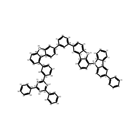 c1ccc(-c2ccc3c(c2)c2ccccc2n3-c2cccc3c2oc2ccc(-c4cccc(-c5ccc6c(c5)oc5cccc(-c7cccc(-c8nc(-c9ccccc9)nc(-c9ccccc9)n8)c7)c56)c4)cc23)cc1